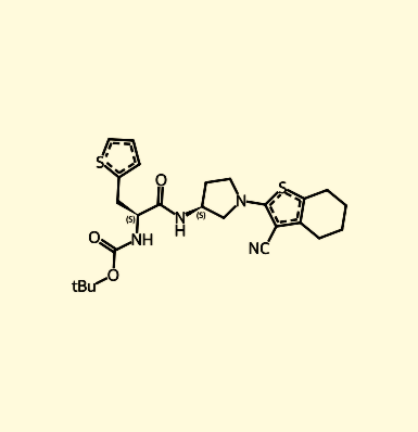 CC(C)(C)OC(=O)N[C@@H](Cc1cccs1)C(=O)N[C@H]1CCN(c2sc3c(c2C#N)CCCC3)C1